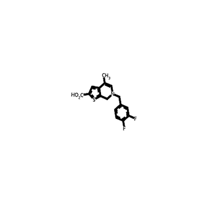 CC1=CN(Cc2ccc(F)c(F)c2)Cc2sc(C(=O)O)cc21